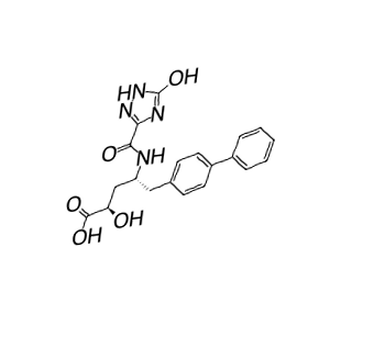 O=C(N[C@H](Cc1ccc(-c2ccccc2)cc1)C[C@@H](O)C(=O)O)c1n[nH]c(O)n1